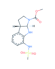 COC(=O)N1CC[C@H]2c3cccc(NS(C)(=O)=O)c3N[C@@H]21